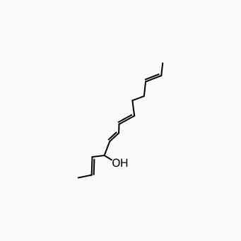 CC=CCCC=CC=CC(O)C=CC